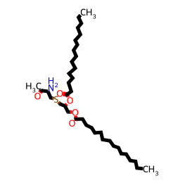 CCCCCCCCCCCCCCCC(=O)OCC(CSCC(N)C(C)=O)OC(=O)CCCCCCCCCCCCCCC